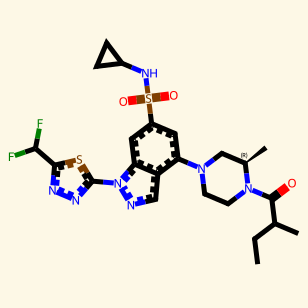 CCC(C)C(=O)N1CCN(c2cc(S(=O)(=O)NC3CC3)cc3c2cnn3-c2nnc(C(F)F)s2)C[C@H]1C